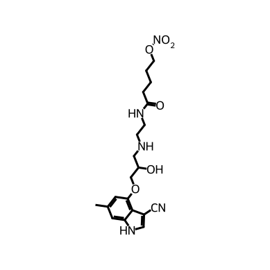 Cc1cc(OCC(O)CNCCNC(=O)CCCCO[N+](=O)[O-])c2c(C#N)c[nH]c2c1